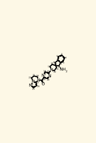 N[C@@H]1c2ccccc2CC12CCN(c1cnc(C(=O)N3CCCn4nccc43)cn1)CC2